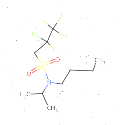 CCCCN(C(C)C)S(=O)(=O)CC(F)(F)C(F)(F)F